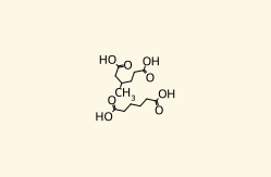 CC(CCC(=O)O)CC(=O)O.O=C(O)CCCCC(=O)O